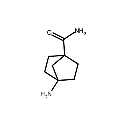 NC(=O)C12CCC(N)(CC1)C2